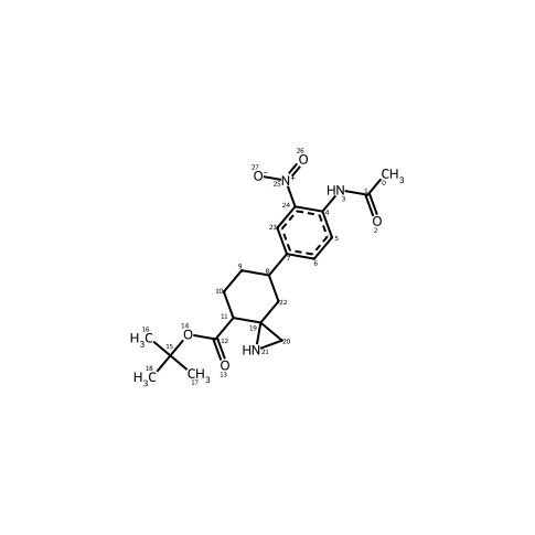 CC(=O)Nc1ccc(C2CCC(C(=O)OC(C)(C)C)C3(CN3)C2)cc1[N+](=O)[O-]